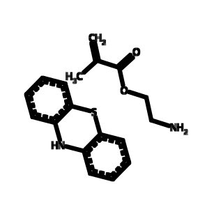 C=C(C)C(=O)OCCN.c1ccc2c(c1)Nc1ccccc1S2